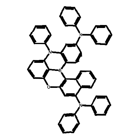 c1ccc(N2c3cccc4c3B(c3c(cc(N(c5ccccc5)c5ccccc5)c5ccccc35)O4)c3c2cc(N(c2ccccc2)c2ccccc2)c2ccccc32)cc1